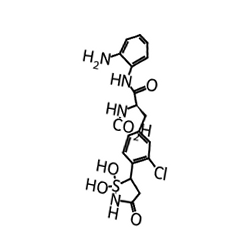 Nc1ccccc1NC(=O)[C@@H](Cc1ccc(C2CC(=O)NS2(O)O)c(Cl)c1)NC(=O)O